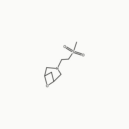 CS(=O)(=O)CCN1CC2CC(C1)O2